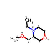 CCN1CCOC[C@@H]1COC